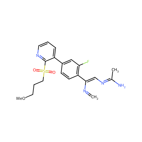 C=N/C(=C\N=C(/C)N)c1ccc(-c2cccnc2S(=O)(=O)CCCOC)cc1F